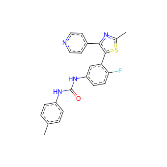 Cc1ccc(NC(=O)Nc2ccc(F)c(-c3sc(C)nc3-c3ccncc3)c2)cc1